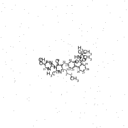 CCCCc1nc(C)n(-c2ncc(OC)cn2)c(=O)c1Cc1ccc(-c2ccccc2S(=O)(=O)NC(C)(C)C)cc1